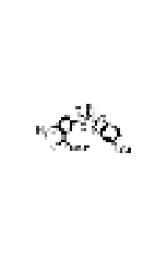 CCN(c1nc2cc(C(C)(C)C)ccc2o1)S(=O)(=O)c1ccc(C)c(C(=O)OC)c1